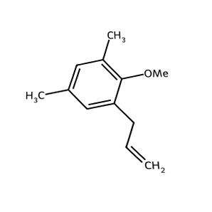 C=CCc1cc(C)cc(C)c1OC